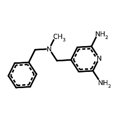 CN(Cc1ccccc1)Cc1cc(N)nc(N)c1